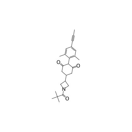 CC#Cc1cc(C)c(C2C(=O)CC(C3CN(C(=O)C(C)(C)C)C3)CC2=O)c(C)c1